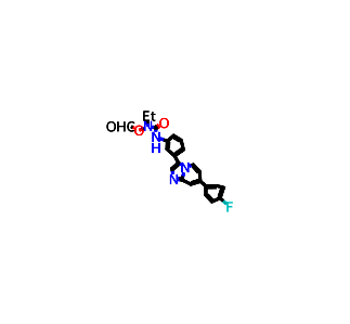 CCN(OC=O)C(=O)Nc1cccc(-c2cnc3cc(-c4ccc(F)cc4)ccn23)c1